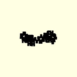 Cc1nn(-c2ccc(CCNC(=O)NS(=O)(=O)c3ccccc3F)cc2)c(C)c1-c1ccccc1